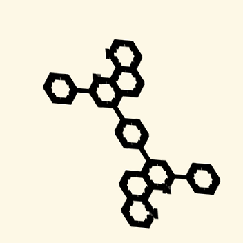 c1ccc(-c2cc(-c3ccc(-c4cc(-c5ccccc5)nc5c4ccc4cccnc45)cc3)c3ccc4cccnc4c3n2)cc1